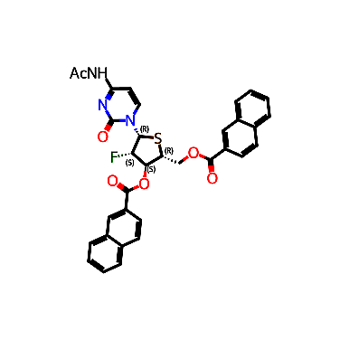 CC(=O)Nc1ccn([C@@H]2S[C@H](COC(=O)c3ccc4ccccc4c3)[C@@H](OC(=O)c3ccc4ccccc4c3)[C@@H]2F)c(=O)n1